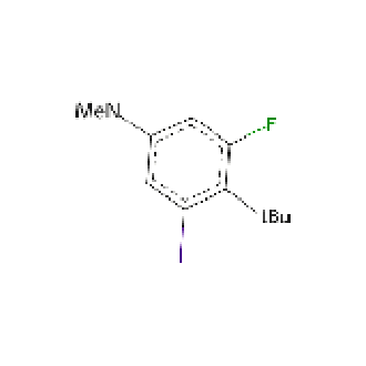 CNc1cc(F)c(C(C)(C)C)c(I)c1